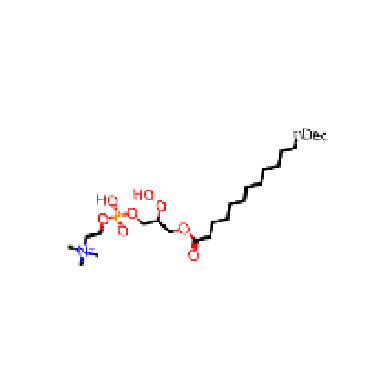 CCCCCCCCCCCCCCCCCCCCCC(=O)OCC(COP(=O)(O)OCC[N+](C)(C)C)OO